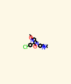 CCOc1ccc2cn(-c3ccc4nn(C(C)C)cc4c3)c(=O)c(-c3ccc(Cl)cc3)c2n1